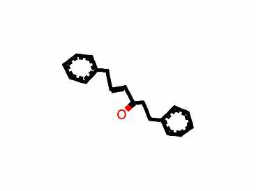 O=C(C=CCc1ccccc1)CCc1ccccc1